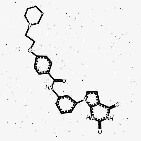 O=C(Nc1cccc(-n2ccc3c(=O)[nH]c(=O)[nH]c32)c1)c1ccc(OCCN2CCCCC2)cc1